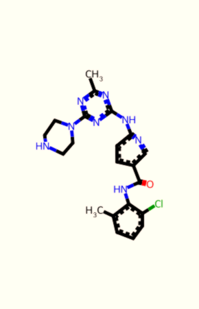 Cc1nc(Nc2ccc(C(=O)Nc3c(C)cccc3Cl)cn2)nc(N2CCNCC2)n1